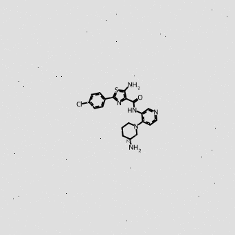 Nc1sc(-c2ccc(Cl)cc2)nc1C(=O)Nc1cnccc1N1CCC[C@H](N)C1